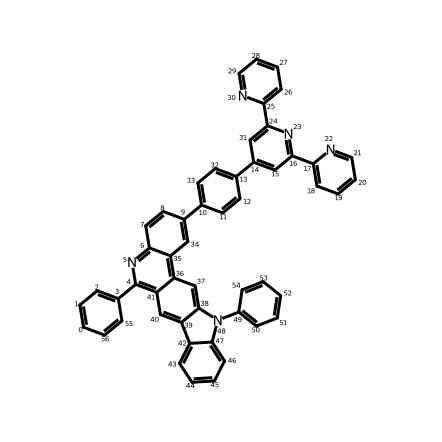 c1ccc(-c2nc3ccc(-c4ccc(-c5cc(-c6ccccn6)nc(-c6ccccn6)c5)cc4)cc3c3cc4c(cc23)c2ccccc2n4-c2ccccc2)cc1